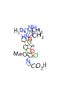 C=C(C(=O)Nc1cccc(-c2cccc3c2CC2(CC2)C3Oc2c(Cl)cc(CN3CCC(C(=O)O)C3)c(OC)c2F)c1Cl)N(C)C1=C(N)CN(C)CC1